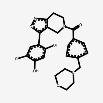 O=C(c1ccc(CN2CCOCC2)cc1)N1CCc2noc(-c3cc(Cl)c(O)cc3O)c2C1